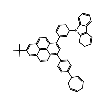 CC(C)(C)c1cc2ccc3c(C4=CC(n5c6c(c7ccccc75)C=CCC6)CC=C4)cc(-c4ccc(C5C=CCC=CC5)cc4)c4ccc(c1)c2c34